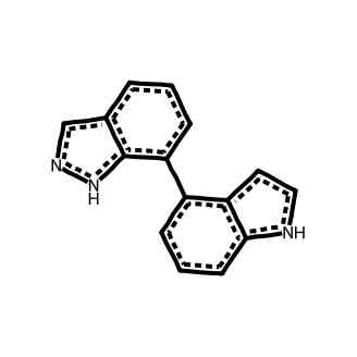 c1cc(-c2cccc3[nH]ccc23)c2[nH]ncc2c1